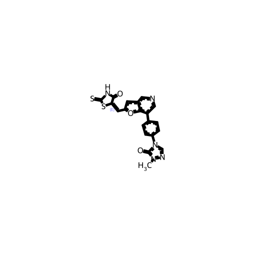 Cn1ncn(-c2ccc(-c3cncc4cc(/C=C5/SC(=S)NC5=O)oc34)cc2)c1=O